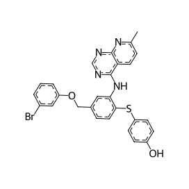 Cc1ccc2c(Nc3cc(COc4cccc(Br)c4)ccc3Sc3ccc(O)cc3)ncnc2n1